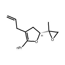 C=CCC1=C(CCC)O[C@@H](C2(C)CO2)C1